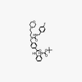 CC(C)(C)OC(=O)Nc1ccccc1NC(=O)c1ccc(CN(CCCN2CCOCC2)C(=O)NCc2ccc(F)cc2)cc1